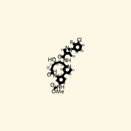 COC(=O)Nc1ccc2c(c1)NC(=O)[C@H](C)C[C@@H](O)C[C@H](NC(=O)c1cnn(-c3cccc(Cl)c3F)c1C)c1cc-2ccn1